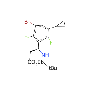 CCOC(=O)C[C@H](NCC(C)(C)C)c1c(F)c(Br)cc(C2CC2)c1F